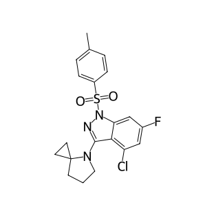 Cc1ccc(S(=O)(=O)n2nc(N3CCCC34CC4)c3c(Cl)cc(F)cc32)cc1